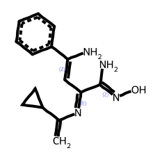 C=C(/N=C(\C=C(/N)c1ccccc1)C(/N)=N/O)C1CC1